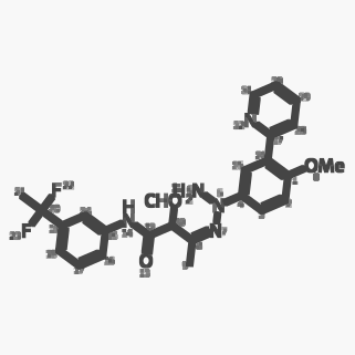 COc1ccc(N(N)/N=C(/C)C(C=O)C(=O)Nc2cccc(C(C)(F)F)c2)cc1-c1ccccn1